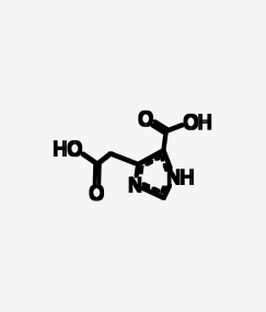 O=C(O)Cc1nc[nH]c1C(=O)O